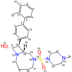 Cc1cccc(-c2ccc([C@@H]3[C@@H](O)N4CCCCN(S(=O)(=O)N5CCN(C)CC5)C[C@@H]34)cc2)c1C